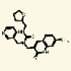 Cc1ccc2cc(CN(Cc3cccnc3)C(=S)NCC3CCCO3)c(=O)[nH]c2c1